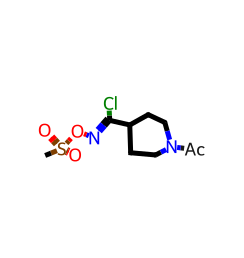 CC(=O)N1CCC(/C(Cl)=N/OS(C)(=O)=O)CC1